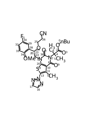 CCCCOC(=O)C(C)(C)n1c(=O)c2c(C)c(-n3nccn3)sc2n(C[C@H](OCCC#N)c2cc(F)ccc2OC)c1=O